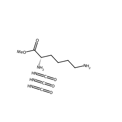 COC(=O)[C@@H](N)CCCCN.N=C=O.N=C=O.N=C=O